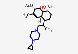 CC(=O)O[C@@H]1[CH][C@@]2(O)[C@H](C)CC[C@@H](C(C)CN3CCN(C4CC4)CC3)[C@H]2C=C1C